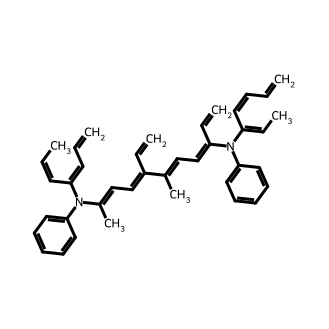 C=C/C=C\C(=C/C)N(/C(C=C)=C/C=C(C)/C(C=C)=C/C=C(\C)N(C(/C=C\C)=C/C=C)c1ccccc1)c1ccccc1